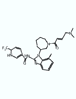 Cc1cccc2nc(NC(=O)C3=CNC(C(F)(F)F)C=C3)n(C3CCCCN(C(=O)/C=C/CN(C)C)C3)c12